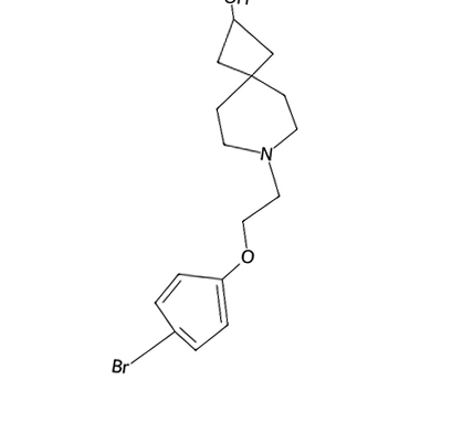 OC1CC2(CCN(CCOc3ccc(Br)cc3)CC2)C1